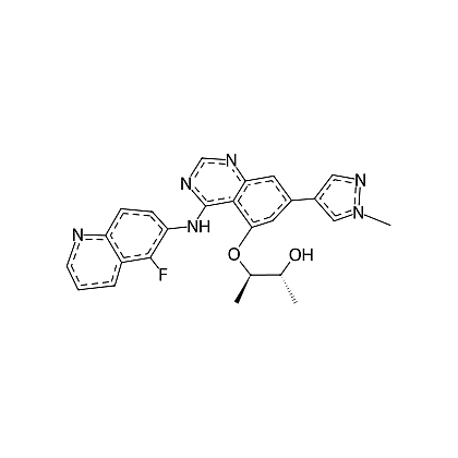 C[C@@H](O)[C@@H](C)Oc1cc(-c2cnn(C)c2)cc2ncnc(Nc3ccc4ncccc4c3F)c12